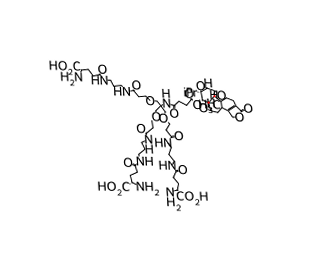 CC(C)[C@]12O[C@H]1[C@@H]1O[C@]13[C@]1(O[C@H]1CC1C4=C(CC[C@@]13C)C(=O)OC4)[C@@H]2OC(=O)CCC(=O)NC(COCCC(=O)NCCCNC(=O)CC[C@H](N)C(=O)O)(COCCC(=O)NCCCNC(=O)CC[C@H](N)C(=O)O)COCCC(=O)NCCCNC(=O)CC[C@H](N)C(=O)O